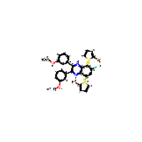 CCCCCCCCOc1cccc(-c2nc3c([SH]4C=CC=C4Br)cc(F)c([SH]4C=CC=C4Br)c3nc2-c2cccc(OCCCCCCCC)c2)c1